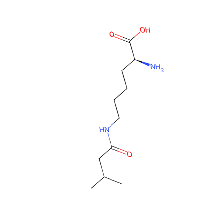 CC(C)CC(=O)NCCCC[C@H](N)C(=O)O